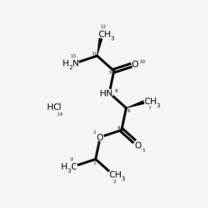 CC(C)OC(=O)[C@H](C)NC(=O)[C@H](C)N.Cl